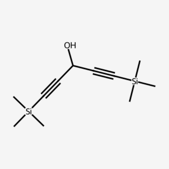 C[Si](C)(C)C#CC(O)C#C[Si](C)(C)C